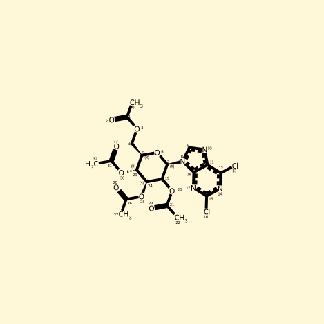 CC(=O)OC[C@H]1O[C@@H](n2cnc3c(Cl)nc(Cl)nc32)C(OC(C)=O)[C@@H](OC(C)=O)[C@@H]1OC(C)=O